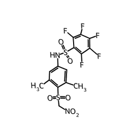 Cc1cc(NS(=O)(=O)c2c(F)c(F)c(F)c(F)c2F)cc(C)c1S(=O)(=O)C[N+](=O)[O-]